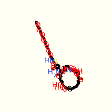 CCOCCOCCOCCOCCOCCOCCOCCNC(=S)O[C@@H]1CC[C@@H](C[C@@H](N)[C@@H]2C[C@@H](OC)[C@H](C)/C=C(\C)[C@@H](O)[C@@H](O)C(=O)[C@H](C)C[C@H](C)/C=C/C=C/C=C(\C)[C@@H](OC)C[C@@H]3CC[C@@H](C)[C@@](O)(O3)C(=O)C(=O)N3CCCC[C@H]3C(=O)O2)C[C@H]1OC